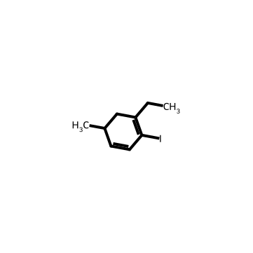 CCC1=C(I)C=CC(C)C1